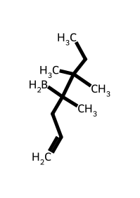 BC(C)(CC=C)C(C)(C)CC